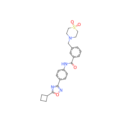 O=C(Nc1ccc(-c2noc(C3CCC3)n2)cc1)c1cccc(CN2CCS(=O)(=O)CC2)c1